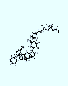 C[C@]1(c2ccccc2)COC(=O)N1c1ccn2ncc(-c3ccc(-c4n[nH]c(COCC[Si](C)(C)C)n4)c(F)c3)c2n1